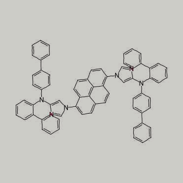 c1ccc(-c2ccc(N(c3cn(-c4ccc5ccc6c(-n7cnc(N(c8ccc(-c9ccccc9)cc8)c8ccccc8-c8ccccc8)c7)ccc7ccc4c5c76)cn3)c3ccccc3-c3ccccc3)cc2)cc1